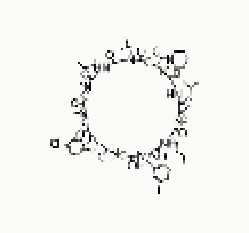 CCCC[C@@H]1NC(=O)[C@](C)(Cc2cccc(I)c2)NC(=O)CN(C)C(=O)[C@H](Cc2ccc(Cl)cc2)N(C)C(=O)CN(C)C(=O)CN(C)C(=O)[C@H]([C@@H](C)CC)NC(=O)[C@H](CC(C)C)N(C)C(=O)C[C@@H](C(=O)N2CCCCC2)N(C)C(=O)[C@H](CC(C)C)NC(=O)C(C)(C)N(C)C1=O